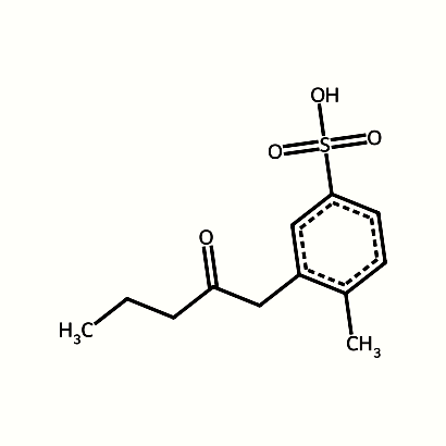 CCCC(=O)Cc1cc(S(=O)(=O)O)ccc1C